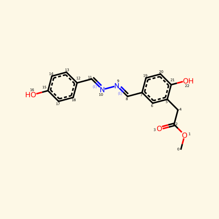 COC(=O)Cc1cc(/C=N/N=C/c2ccc(O)cc2)ccc1O